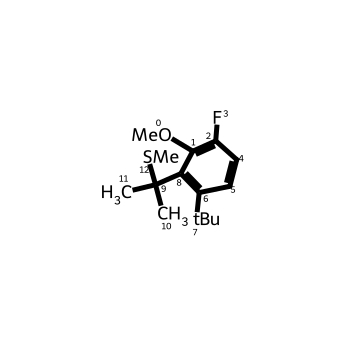 COc1c(F)ccc(C(C)(C)C)c1C(C)(C)SC